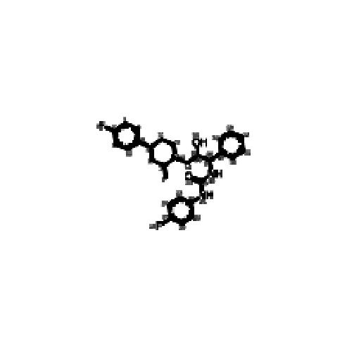 CC1CC(c2ccc(F)cc2)CCN1C[C@@H](O)[C@H](NC(=O)Nc1ccc(F)cc1)c1ccccc1